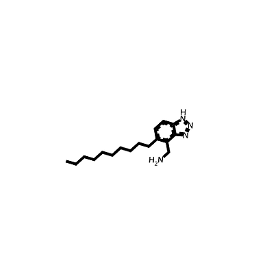 CCCCCCCCCCc1ccc2[nH]nnc2c1CN